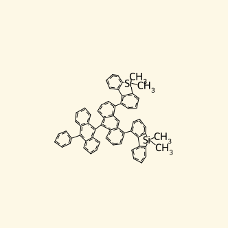 C[Si]1(C)c2ccccc2-c2c(-c3cccc4c(-c5c6ccccc6c(-c6ccccc6)c6ccccc56)c5cccc(-c6cccc7c6-c6ccccc6[Si]7(C)C)c5cc34)cccc21